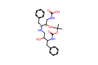 CC(C)(C)OC(=O)NC(Cc1ccccc1)C(O)CN[C@@H](Cc1ccccc1)[C@H](O)CNC(=O)O